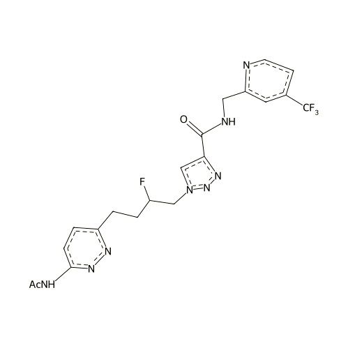 CC(=O)Nc1ccc(CCC(F)Cn2cc(C(=O)NCc3cc(C(F)(F)F)ccn3)nn2)nn1